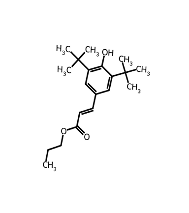 CCCOC(=O)C=Cc1cc(C(C)(C)C)c(O)c(C(C)(C)C)c1